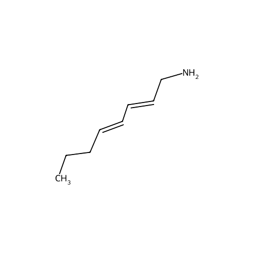 CCCC=CC=CCN